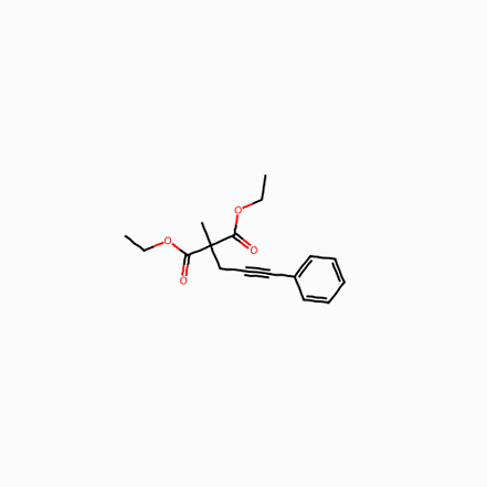 CCOC(=O)C(C)(CC#Cc1ccccc1)C(=O)OCC